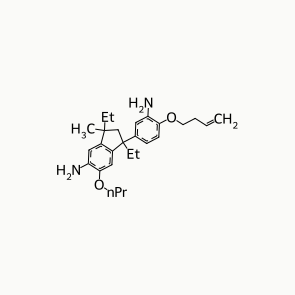 C=CCCOc1ccc(C2(CC)CC(C)(CC)c3cc(N)c(OCCC)cc32)cc1N